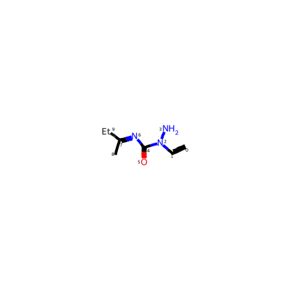 C=CN(N)C(=O)N=C(C)CC